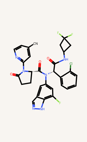 N#Cc1ccnc(N2C(=O)CC[C@H]2C(=O)N(c2cc(F)c3[nH]ncc3c2)[C@H](C(=O)NC2CC(F)(F)C2)c2ccccc2Cl)c1